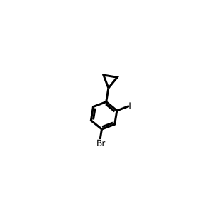 Brc1ccc(C2CC2)c(I)c1